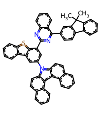 CC1(C)c2ccccc2-c2ccc(-c3nc(-c4cc(-n5c6ccc7ccccc7c6c6c7ccccc7ccc65)cc5c4sc4ccccc45)nc4ccccc34)cc21